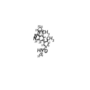 Cc1ccc(C(=O)NC2CC2)cc1-c1ccc2c(N3CCCC3C)nncc2c1